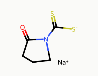 O=C1CCCN1C(=S)[S-].[Na+]